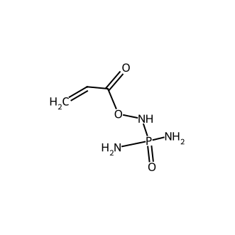 C=CC(=O)ONP(N)(N)=O